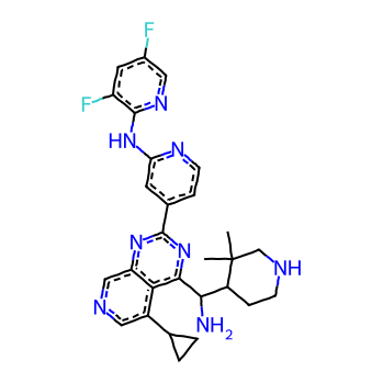 CC1(C)CNCCC1C(N)c1nc(-c2ccnc(Nc3ncc(F)cc3F)c2)nc2cncc(C3CC3)c12